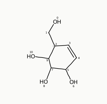 OC[C]1C=CC(O)C(O)C1O